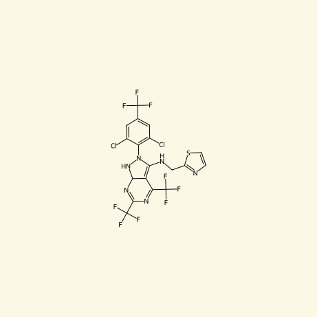 FC(F)(F)C1=NC2NN(c3c(Cl)cc(C(F)(F)F)cc3Cl)C(NCc3nccs3)=C2C(C(F)(F)F)=N1